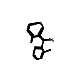 Cc1ccccc1C([SiH3])c1ccccc1C